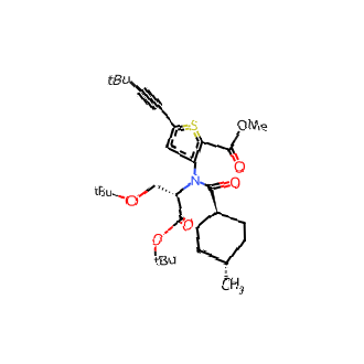 COC(=O)c1sc(C#CC(C)(C)C)cc1N(C(=O)[C@H]1CC[C@H](C)CC1)[C@@H](COC(C)(C)C)C(=O)OC(C)(C)C